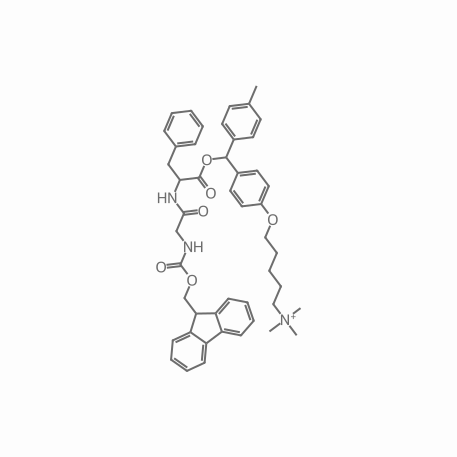 Cc1ccc(C(OC(=O)C(Cc2ccccc2)NC(=O)CNC(=O)OCC2c3ccccc3-c3ccccc32)c2ccc(OCCCCC[N+](C)(C)C)cc2)cc1